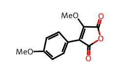 COC1=C(c2ccc(OC)cc2)C(=O)OC1=O